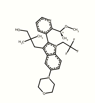 CO[C@@H](C)c1ncccc1-c1c(CC(C)(C)CO)c2cc(N3CCOCC3)ccc2n1CC(F)(F)F